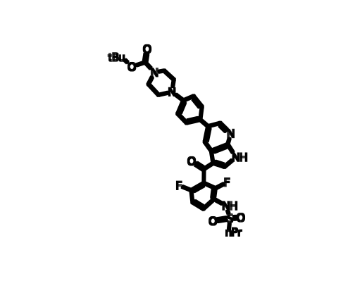 CCCS(=O)(=O)Nc1ccc(F)c(C(=O)c2c[nH]c3ncc(-c4ccc(N5CCN(C(=O)OC(C)(C)C)CC5)cc4)cc23)c1F